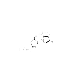 Cc1cc(C=O)n([C@@H]2O[C@H](CO)CC2O)c1